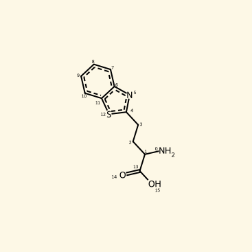 NC(CCc1nc2ccccc2s1)C(=O)O